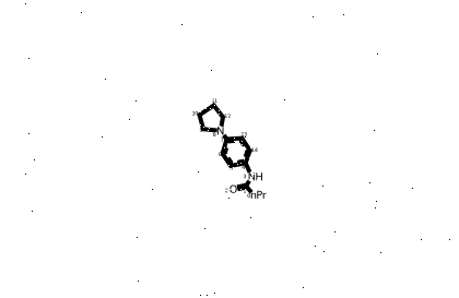 CCCC(=O)Nc1ccc(N2CCCC2)cc1